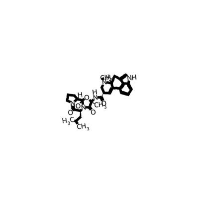 CC(C)C[C@H]1C(=O)N2CCC[C@H]2[C@]2(O)O[C@@](C)(NC(=O)[C@H]3C=C4c5cccc6[nH]cc(c56)C[C@H]4N(C)C3)C(=O)N12